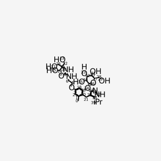 Cc1cc(OCCNC(=O)NC(CO)(CO)CO)ccc1Cc1c(O[C@@H]2O[C@H](CO)[C@@H](O)[C@H](O)[C@H]2O)n[nH]c1C(C)C